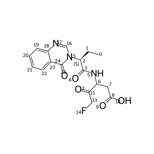 CC[C@@H](C(=O)NC(CC(=O)O)C(=O)CF)n1cnc2ccccc2c1=O